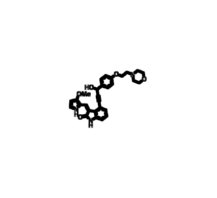 COc1cc[nH]c1C=C1C(=O)Nc2cccc(C#CC(O)c3ccc(OCCN4CCOCC4)cc3)c21